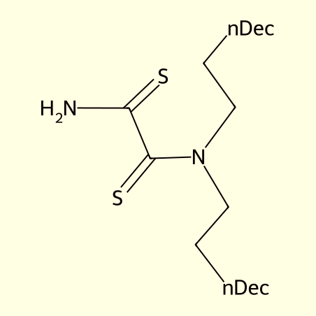 CCCCCCCCCCCCN(CCCCCCCCCCCC)C(=S)C(N)=S